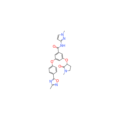 Cc1noc(-c2ccc(Oc3cc(OC4CCN(C)C4=O)cc(C(=O)Nc4ccn(C)n4)c3)cc2)n1